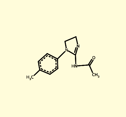 CC(=O)NC1=NCCN1c1ccc(C)cc1